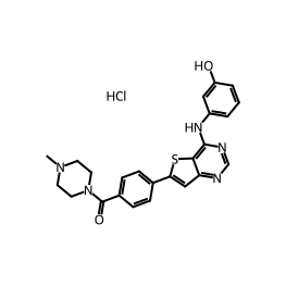 CN1CCN(C(=O)c2ccc(-c3cc4ncnc(Nc5cccc(O)c5)c4s3)cc2)CC1.Cl